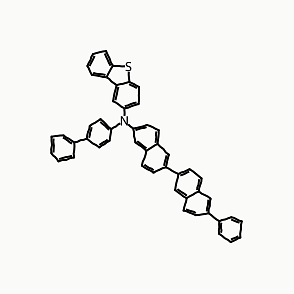 c1ccc(-c2ccc(N(c3ccc4cc(-c5ccc6cc(-c7ccccc7)ccc6c5)ccc4c3)c3ccc4sc5ccccc5c4c3)cc2)cc1